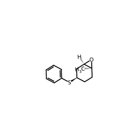 C[C@]12CC[C@@H](Sc3ccccc3)C[C@H]1O2